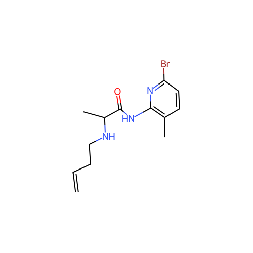 C=CCCNC(C)C(=O)Nc1nc(Br)ccc1C